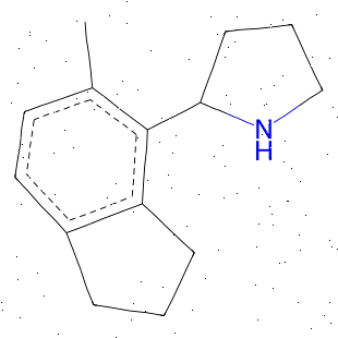 Cc1ccc2c(c1C1CCCN1)CCC2